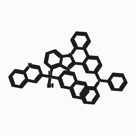 S[PH](c1ccc2ccccc2c1)(c1cnc2ccccc2c1)c1cccc2c1nc1c3cc(P(c4ccccc4)c4ccccc4)ccc3c3ccccc3n21